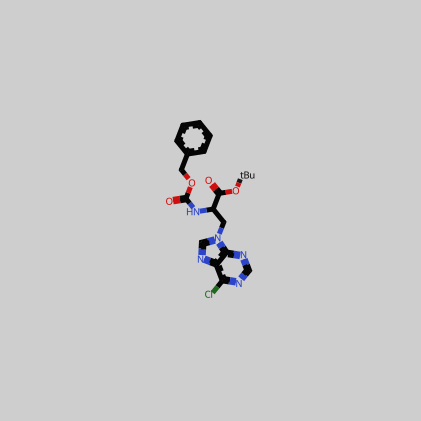 CC(C)(C)OC(=O)C(Cn1cnc2c(Cl)ncnc21)NC(=O)OCc1ccccc1